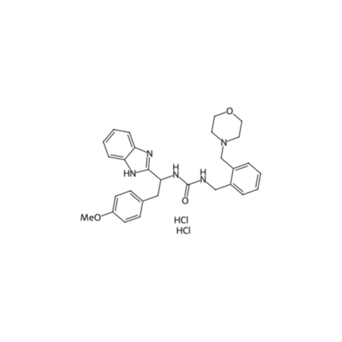 COc1ccc(CC(NC(=O)NCc2ccccc2CN2CCOCC2)c2nc3ccccc3[nH]2)cc1.Cl.Cl